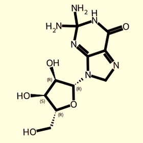 NC1(N)N=C2C(=NCN2[C@@H]2O[C@H](CO)[C@@H](O)[C@H]2O)C(=O)N1